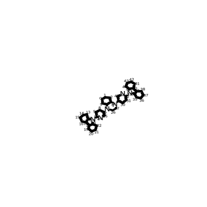 c1ccc2c(c1)N(c1ccc(-n3c4ccccc4c4ccccc43)nc1)CCN2c1ccc(-n2c3ccccc3c3ccccc32)nc1